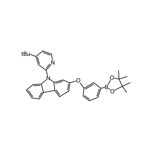 CC(C)(C)c1ccnc(-n2c3ccccc3c3ccc(Oc4cccc(B5OC(C)(C)C(C)(C)O5)c4)cc32)c1